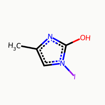 Cc1cn(I)c(O)n1